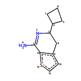 NC1=NC(C2CCC2)Cc2ccsc21